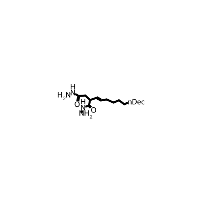 CCCCCCCCCCCCCCC=CC(CC(=O)NN)C(=O)NN